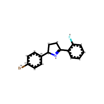 Fc1ccccc1C1=NC(c2ccc(Br)cc2)CC1